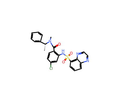 C[C@H](c1ccccc1)N(C)C(=O)c1ccc(Cl)cc1NS(=O)(=O)c1cccc2nccnc12